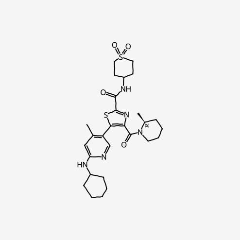 Cc1cc(NC2CCCCC2)ncc1-c1sc(C(=O)NC2CCS(=O)(=O)CC2)nc1C(=O)N1CCCC[C@@H]1C